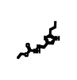 CCCc1nc(C=NNC(=O)OCC)c[nH]1